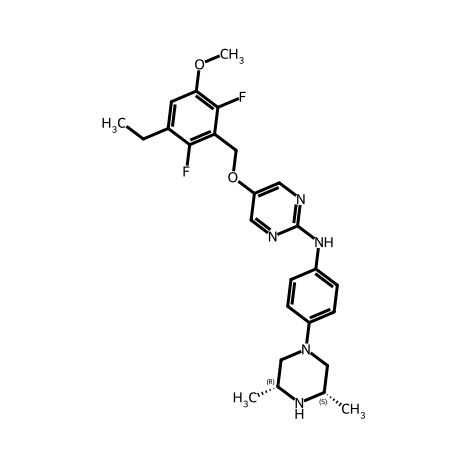 CCc1cc(OC)c(F)c(COc2cnc(Nc3ccc(N4C[C@@H](C)N[C@@H](C)C4)cc3)nc2)c1F